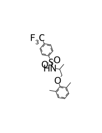 Cc1cccc(C)c1OCC(C)NS(=O)(=O)c1ccc(C(F)(F)F)cc1